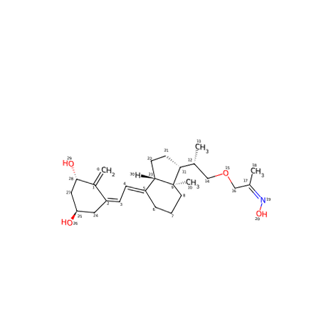 C=C1/C(=C\C=C2/CCC[C@]3(C)[C@@H]([C@H](C)COC/C(C)=N\O)CC[C@@H]23)C[C@@H](O)C[C@@H]1O